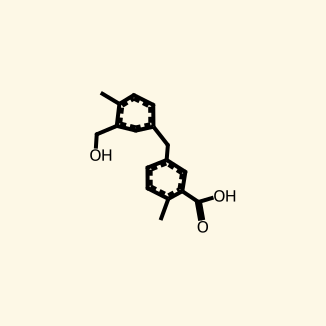 Cc1ccc(Cc2ccc(C)c(C(=O)O)c2)cc1CO